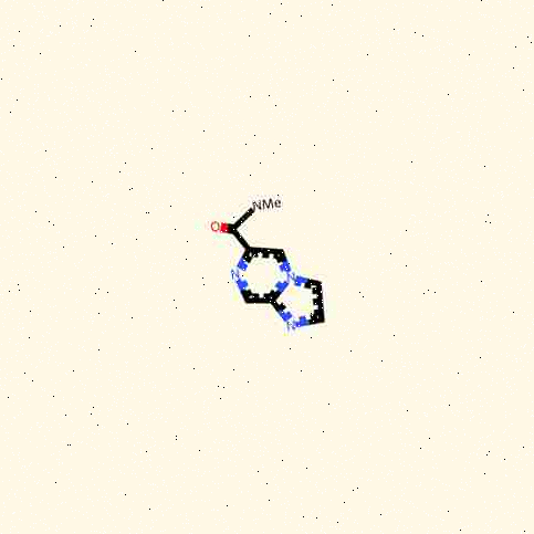 CNC(=O)c1cn2ccnc2cn1